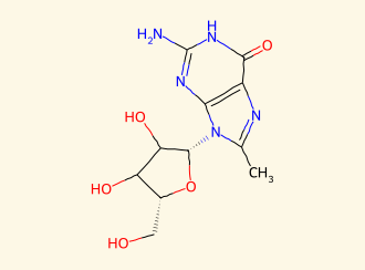 Cc1nc2c(=O)[nH]c(N)nc2n1[C@@H]1O[C@H](CO)C(O)C1O